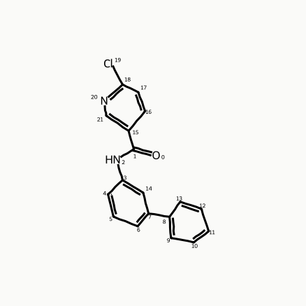 O=C(Nc1[c]ccc(-c2ccccc2)c1)c1ccc(Cl)nc1